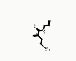 C=CCOC(=O)C(=C)CCN